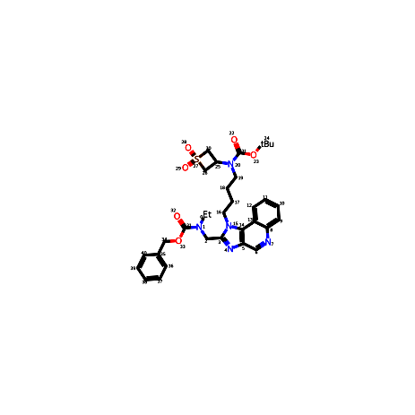 CCN(Cc1nc2cnc3ccccc3c2n1CCCCN(C(=O)OC(C)(C)C)C1CS(=O)(=O)C1)C(=O)OCc1ccccc1